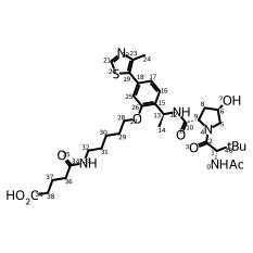 CC(=O)N[C@H](C(=O)N1C[C@H](O)C[C@H]1C(=O)N[C@@H](C)c1ccc(-c2scnc2C)cc1OCCCCCNC(=O)CCCC(=O)O)C(C)(C)C